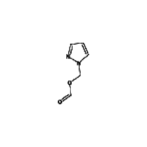 O=COCn1cccn1